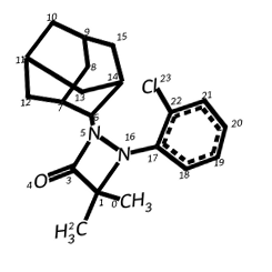 CC1(C)C(=O)N(C2C3CC4CC(C3)CC2C4)N1c1ccccc1Cl